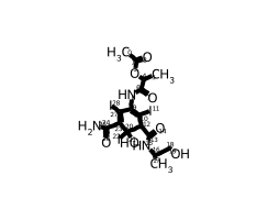 CC(=O)OC(C)C(=O)NC1=C(I)C(C(=O)NC(C)CO)C(O)(I)C(C(N)=O)=C1I